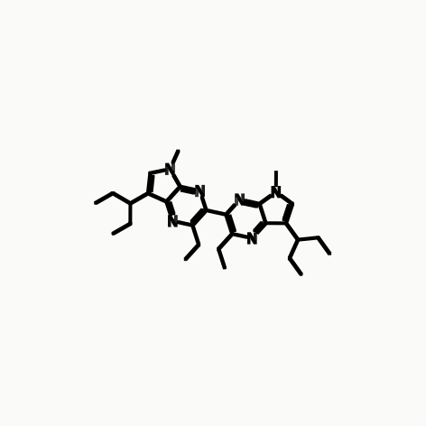 CCc1nc2c(C(CC)CC)cn(C)c2nc1-c1nc2c(nc1CC)c(C(CC)CC)cn2C